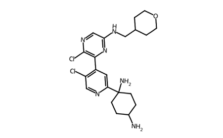 NC1CCC(N)(c2cc(-c3nc(NCC4CCOCC4)cnc3Cl)c(Cl)cn2)CC1